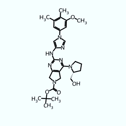 COc1cc(-n2cnc(Nc3nc4c(c(N5CCC[C@@H]5CO)n3)CN(C(=O)OC(C)(C)C)C4)c2)cc(C)c1C